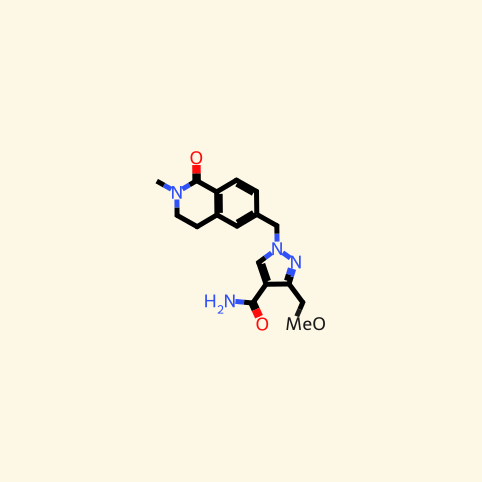 COCc1nn(Cc2ccc3c(c2)CCN(C)C3=O)cc1C(N)=O